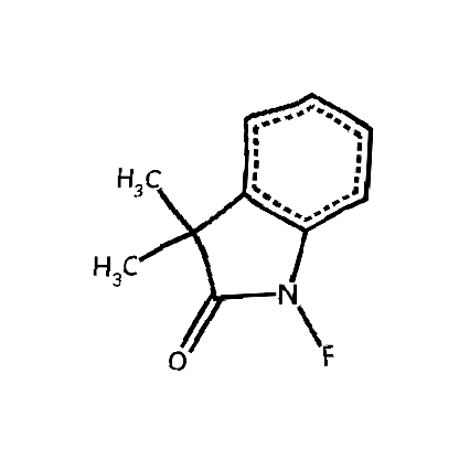 CC1(C)C(=O)N(F)c2ccccc21